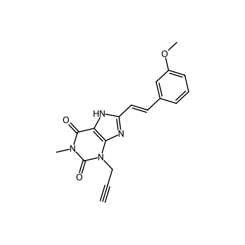 C#CCn1c(=O)n(C)c(=O)c2[nH]c(C=Cc3cccc(OC)c3)nc21